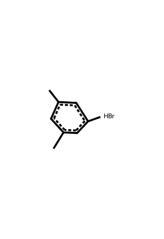 Br.Cc1cc(C)cc(C)c1